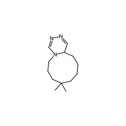 CC1(C)CCCCC2C=NN=CN2CCC1